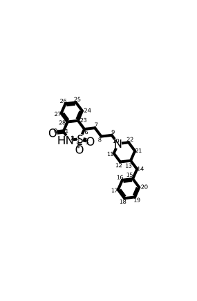 O=C1NS(=O)(=O)C(CCCN2CCC(Cc3ccccc3)CC2)c2ccccc21